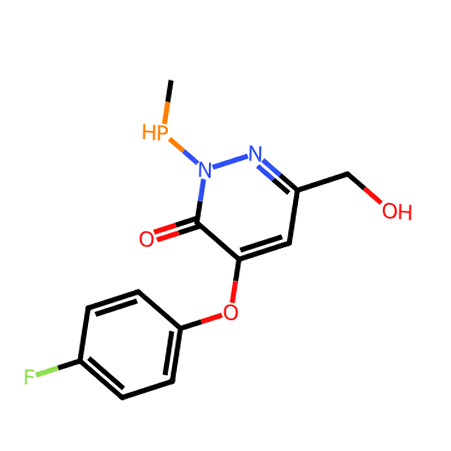 CPn1nc(CO)cc(Oc2ccc(F)cc2)c1=O